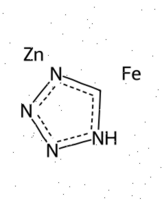 [Fe].[Zn].c1nnn[nH]1